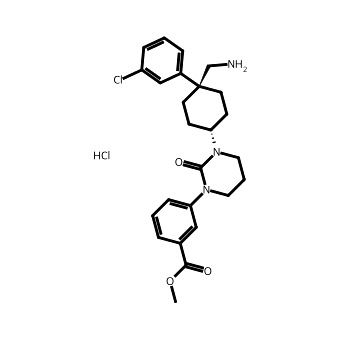 COC(=O)c1cccc(N2CCCN([C@H]3CC[C@@](CN)(c4cccc(Cl)c4)CC3)C2=O)c1.Cl